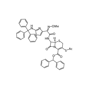 CO/N=C(\C(=O)NC1C(=O)N2C(C(=O)OC(c3ccccc3)c3ccccc3)=C(SC(C)=O)CS[C@@H]12)c1csc(NC(c2ccccc2)(c2ccccc2)c2ccccc2)n1